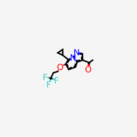 CC(=O)c1cnn2c(C3CC3)c(OCCC(F)(F)F)ccc12